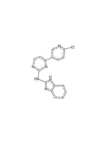 Clc1ccc(-c2ccnc(Nc3nc4ccccc4[nH]3)n2)cn1